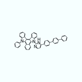 C1=NC(n2c3ccccc3c3c4c5ccccc5n(-c5ccccc5)c4c4ccccc4c32)NC(c2ccc(-c3ccc(-c4ccccc4)cc3)cc2)=C1